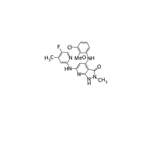 COc1c(Cl)cccc1Nc1cc(Nc2cc(C)c(F)cn2)nc2[nH]n(C)c(=O)c12